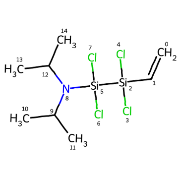 C=C[Si](Cl)(Cl)[Si](Cl)(Cl)N(C(C)C)C(C)C